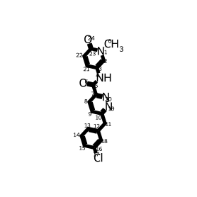 Cn1cc(NC(=O)c2ccc(Cc3cccc(Cl)c3)nn2)ccc1=O